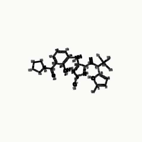 Cc1ccc(C(Nc2n[s+]([O-])nc2Nc2cccc(C(=O)N3CCCC3)c2O)C(C)(C)C)o1